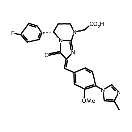 COc1cc(/C=C2\N=C3N(CC(=O)O)CC[C@@H](c4ccc(F)cc4)N3C2=O)ccc1-n1cnc(C)c1